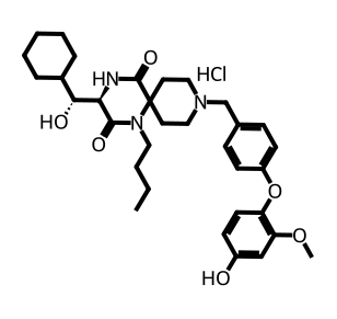 CCCCN1C(=O)[C@@H]([C@H](O)C2CCCCC2)NC(=O)C12CCN(Cc1ccc(Oc3ccc(O)cc3OC)cc1)CC2.Cl